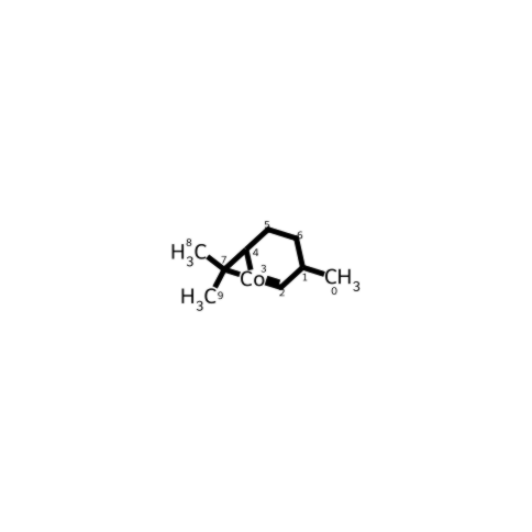 CC1[CH]=[Co]2[CH](CC1)[C]2(C)C